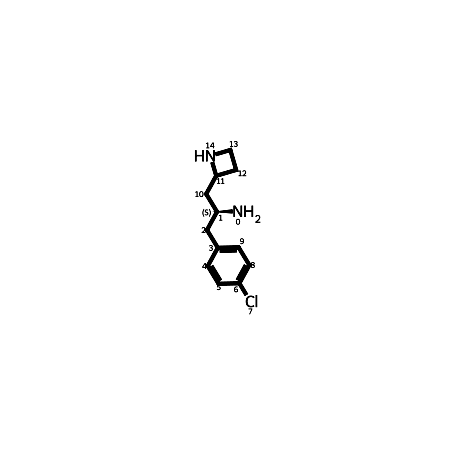 N[C@@H](Cc1ccc(Cl)cc1)CC1CCN1